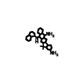 CC1(C)c2cc(N)ccc2-c2cc3c(N)c4ccccc4c(Nc4cccc5ccccc45)c3cc21